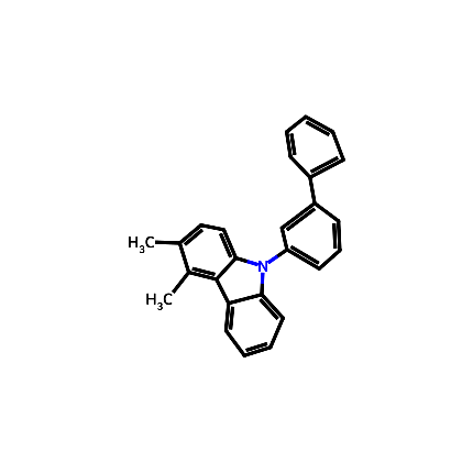 Cc1ccc2c(c1C)c1ccccc1n2-c1cccc(-c2ccccc2)c1